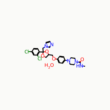 CNC(=O)N1CCN(c2ccc(OCC3COC(Cn4ccnc4)(c4ccc(Cl)cc4Cl)O3)cc2)CC1.O